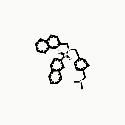 CN(C)Cc1ccc(CN(Cc2ccc3ccccc3c2)S(=O)(=O)c2ccc3ccccc3c2)cc1